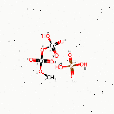 C[O][Cr](=[O])(=[O])[O][Cr](=[O])(=[O])[OH].O=S(=O)(O)O